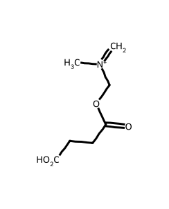 C=[N+](C)COC(=O)CCC(=O)O